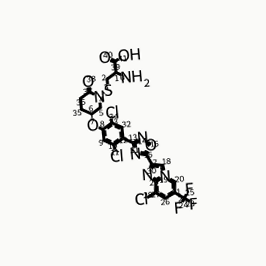 NC(CSN1C[C@H](Oc2cc(Cl)c(-c3noc(-c4cn5cc(C(F)(F)F)cc(Cl)c5n4)n3)cc2Cl)CCC1=O)C(=O)O